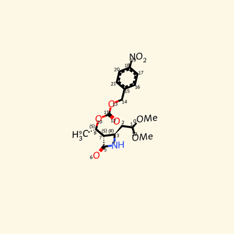 COC(C[C@H]1NC(=O)[C@@H]1[C@H](C)OC(=O)OCc1ccc([N+](=O)[O-])cc1)OC